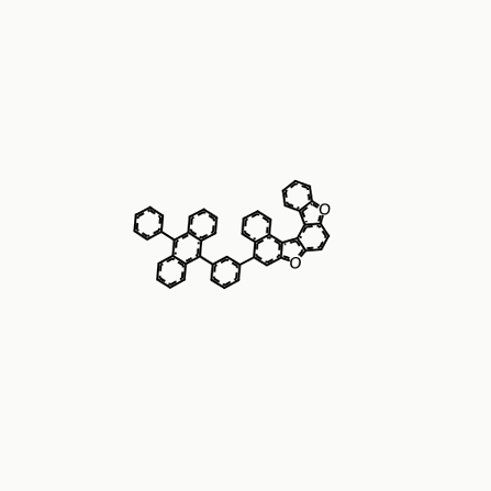 c1ccc(-c2c3ccccc3c(-c3cccc(-c4cc5oc6ccc7oc8ccccc8c7c6c5c5ccccc45)c3)c3ccccc23)cc1